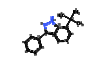 CC(C)(C)c1cccc2c(-c3ccccc3)n[nH]c12